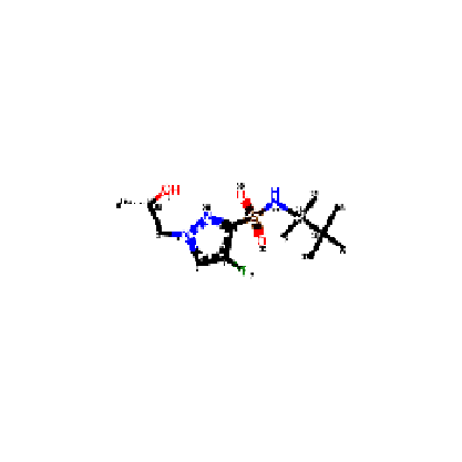 C[C@H](O)Cn1cc(F)c(S(=O)(=O)N[Si](C)(C)C(C)(C)C)n1